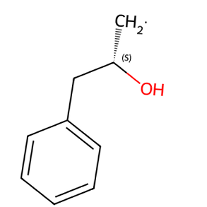 [CH2][C@H](O)Cc1ccccc1